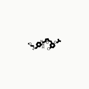 COCCN(C)Cc1ccc2nc(-c3ccc(Cc4cc(Cl)ccc4OCC(C)C)o3)[nH]c2c1